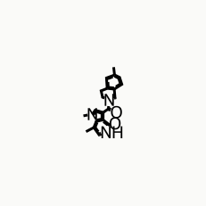 Cc1ccc2c(c1)CCN(C(=O)c1cn(C)c3c(C)c[nH]c(=O)c13)C2